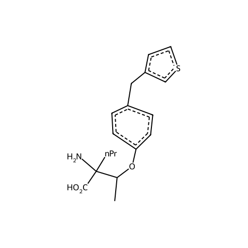 CCCC(N)(C(=O)O)C(C)Oc1ccc(Cc2ccsc2)cc1